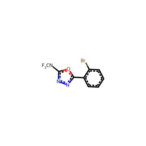 FC(F)(F)Nc1nnc(-c2ccccc2Br)o1